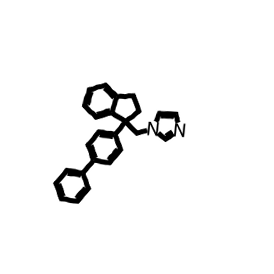 c1ccc(-c2ccc(C3(Cn4ccnc4)CCc4ccccc43)cc2)cc1